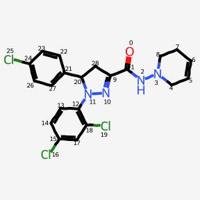 O=C(NN1CC=CCC1)C1=NN(c2ccc(Cl)cc2Cl)C(c2ccc(Cl)cc2)C1